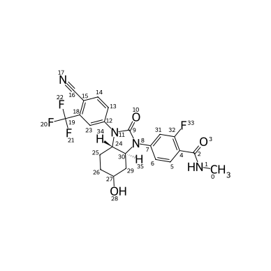 CNC(=O)c1ccc(N2C(=O)N(c3ccc(C#N)c(C(F)(F)F)c3)[C@H]3CCC(O)C[C@@H]32)cc1F